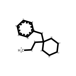 CCCC1([CH]c2ccccc2)CCCCC1